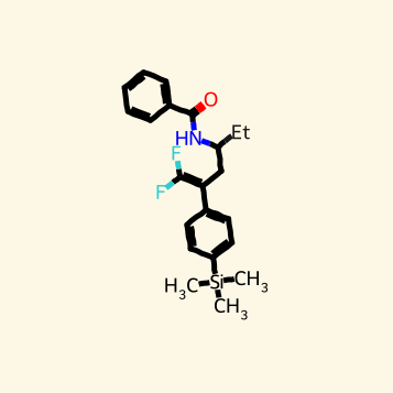 CCC(CC(=C(F)F)c1ccc([Si](C)(C)C)cc1)NC(=O)c1ccccc1